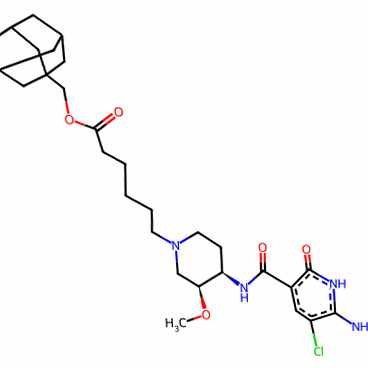 CO[C@H]1CN(CCCCCC(=O)OCC23CC4CC(CC(C4)C2)C3)CC[C@H]1NC(=O)c1cc(Cl)c(N)[nH]c1=O